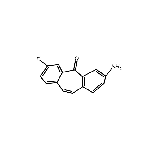 Nc1ccc2ccc3ccc(F)cc3c(=O)c2c1